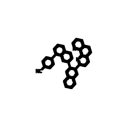 N#Cc1ccc(-c2cccc3ccc(-c4cc5ccccc5cc4-c4ccc5ccc6cccnc6c5n4)cc23)cc1